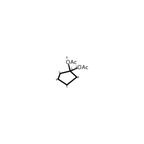 CC(=O)OC1(OC(C)=O)CCCC1